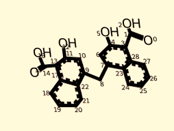 O=C(O)c1c(O)cc(Cc2cc(O)c(C(=O)O)c3ccccc23)c2ccccc12